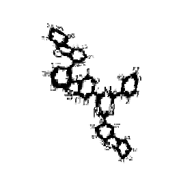 c1ccc(-c2nc(-c3ccc4c(c3)sc3cccc(-c5cccc6c5oc5ccccc56)c34)nc(-c3ccc4sc5ccccc5c4c3)n2)cc1